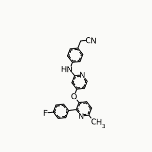 Cc1ccc(Oc2ccnc(Nc3ccc(CC#N)cc3)c2)c(-c2ccc(F)cc2)n1